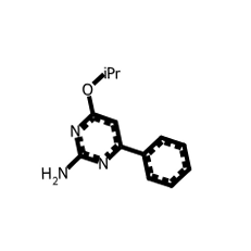 CC(C)Oc1cc(-c2ccccc2)nc(N)n1